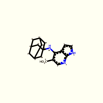 O=C(O)c1cnc2[nH]ccc2c1NC12CC3CC(CC(C3)C1)C2